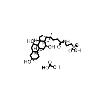 C[C@H](CCC(=O)NCCS(=O)(=O)O)[C@H]1CC[C@H]2[C@@H]3[C@H](O)CC4C[C@H](O)CC[C@]4(C)[C@H]3C[C@H](O)[C@]12C.O=C(O)O